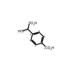 O=C(O)c1ccc(C(O)S(=O)(=O)O)cc1